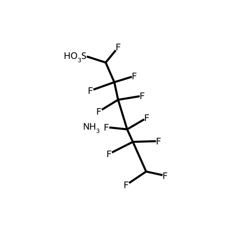 N.O=S(=O)(O)C(F)C(F)(F)C(F)(F)C(F)(F)C(F)(F)C(F)F